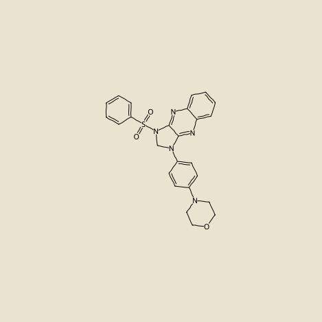 O=S(=O)(c1ccccc1)N1CN(c2ccc(N3CCOCC3)cc2)c2nc3ccccc3nc21